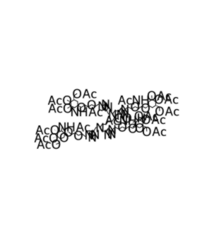 CC(=O)NC1[C@H](OCCOCCn2cc(CN(CCCC[C@@H](C(=O)O)N(Cc3cn(CCOCCO[C@@H]4C[C@H](COC(C)=O)[C@H](OC(C)=O)[C@H](OC(C)=O)[C@H]4NC(C)=O)nn3)Cc3cn(CCOCCO[C@@H]4C[C@H](COC(C)=O)[C@H](OC(C)=O)[C@H](OC(C)=O)[C@H]4NC(C)=O)nn3)Cc3cn(CCOCCO[C@@H]4O[C@H](COC(C)=O)[C@H](OC(C)=O)[C@H](OC(C)=O)[C@H]4NC(C)=O)nn3)nn2)O[C@H](COC(C)=O)[C@H](OC(C)=O)[C@@H]1OC(C)=O